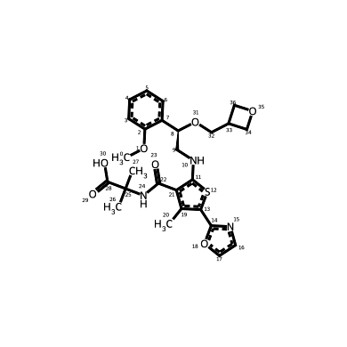 COc1ccccc1[C@H](CNc1sc(-c2ncco2)c(C)c1C(=O)NC(C)(C)C(=O)O)OCC1COC1